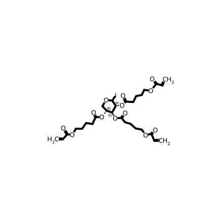 C=CC(=O)OCCCCC(=O)O[C@H]1[C@H](OC(=O)CCCCOC(=O)C=C)COC(I)[C@@H]1OC(=O)CCCCOC(=O)C=C